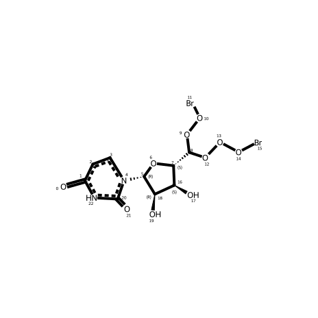 O=c1ccn([C@@H]2O[C@H](C(OOBr)OOOBr)[C@@H](O)[C@H]2O)c(=O)[nH]1